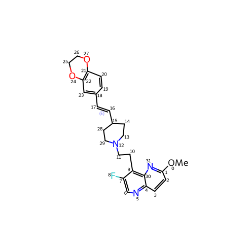 COc1ccc2ncc(F)c(CCN3CCC(/C=C/c4ccc5c(c4)OCCO5)CC3)c2n1